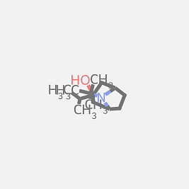 CC(C)C1(O)CC2CCC(C1)N2C(C)(C)C